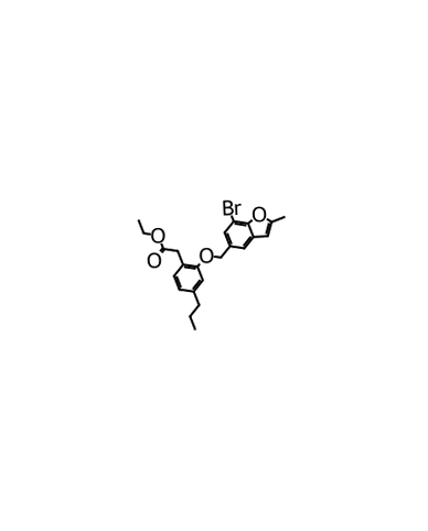 CCCc1ccc(CC(=O)OCC)c(OCc2cc(Br)c3oc(C)cc3c2)c1